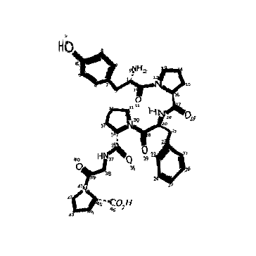 N[C@@H](Cc1ccc(O)cc1)C(=O)N1CCC[C@H]1C(=O)N[C@@H](Cc1ccccc1)C(=O)N1CCC[C@H]1C(=O)NCC(=O)N1CCC[C@H]1C(=O)O